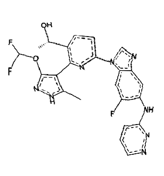 Cc1[nH]nc(OC(F)F)c1-c1nc(-n2cnc3cc(Nc4cccnn4)c(F)cc32)ccc1[C@H](C)O